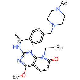 CCOc1nc(N[C@@H](C)c2ccc(CN3CCN(C(C)=O)CC3)cc2)nc2c1ccc(=O)n2CC(C)(C)C